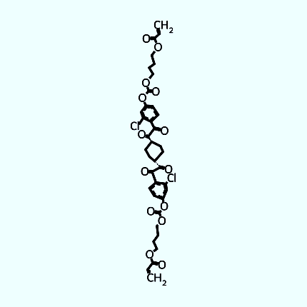 C=CC(=O)OCCCCOC(=O)Oc1ccc(C(=O)C(=O)[C@H]2CC[C@H](C(=O)C(=O)c3ccc(OC(=O)OCCCCOC(=O)C=C)cc3Cl)CC2)c(Cl)c1